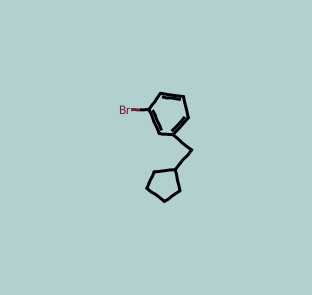 Brc1cccc(CC2CCCC2)c1